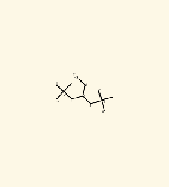 CC(C)(C)CC(C[S])CC(C)(C)C